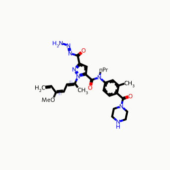 C=C/C(=C\C=C(/C)n1nc(C(=O)N=NN)cc1C(=O)N(CCC)c1ccc(C(=O)N2CCNCC2)c(C)c1)OC